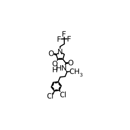 CC(CCc1ccc(Cl)c(Cl)c1)NC(=O)C1=C(O)C(=O)N(CCC(F)(F)F)C1